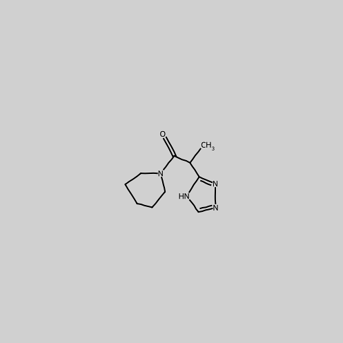 CC(C(=O)N1CCCCC1)c1nnc[nH]1